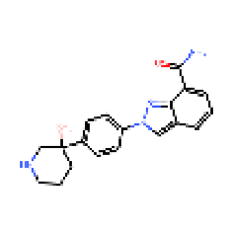 BC1(c2ccc(-n3cc4cccc(C(N)=O)c4n3)cc2)CCCNC1